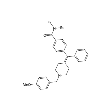 CCN(CC)C(=O)c1ccc(C(=C2CCN(Cc3ccc(OC)cc3)CC2)c2ccccc2)cc1